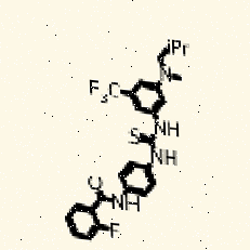 CC(C)CN(C)c1cc(NC(=S)Nc2ccc(NC(=O)c3ccccc3F)cc2)cc(C(F)(F)F)c1